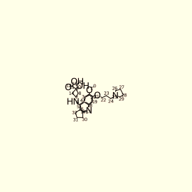 COc1cc2c(NC3CC(O)(C(=O)O)C3)c3c(nc2cc1OCCCN1CCCC1)CCC3